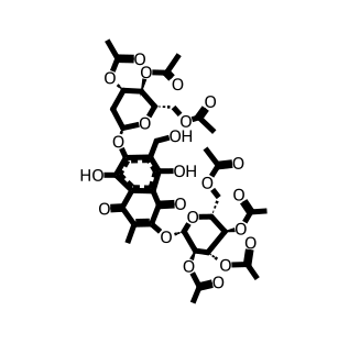 CC(=O)OC[C@@H]1O[C@H](Oc2c(O)c3c(c(O)c2CO)C(=O)C(O[C@@H]2O[C@H](COC(C)=O)[C@@H](OC(C)=O)[C@H](OC(C)=O)[C@H]2OC(C)=O)=C(C)C3=O)C[C@H](OC(C)=O)[C@H]1OC(C)=O